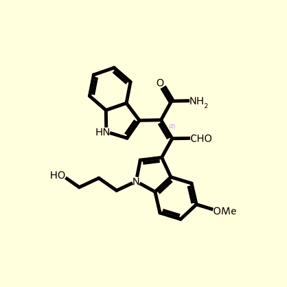 COc1ccc2c(c1)c(/C(C=O)=C(/C(N)=O)C1=CNC3C=CC=CC13)cn2CCCO